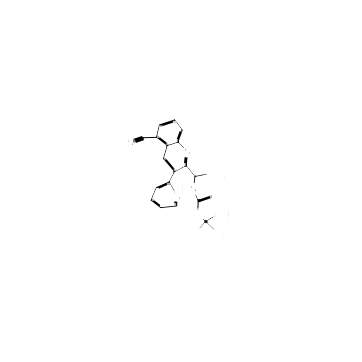 CC(NC(=O)OC(C)(C)C)c1nc2cccc(C#N)c2cc1-c1ccccn1